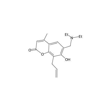 C=CCc1c(O)c(CN(CC)CC)cc2c(C)cc(=O)oc12